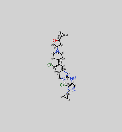 Clc1cc2cnc(Nc3cnn(C4CC4)c3Cl)nc2cc1C1CCN(C2COC(C3CC3)C2)CC1